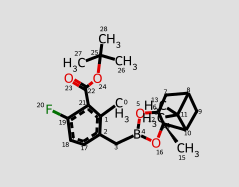 Cc1c(CB2OC3CC4CC(C4(C)C)[C@]3(C)O2)ccc(F)c1C(=O)OC(C)(C)C